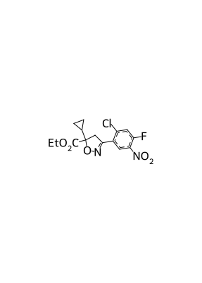 CCOC(=O)C1(C2CC2)CC(c2cc([N+](=O)[O-])c(F)cc2Cl)=NO1